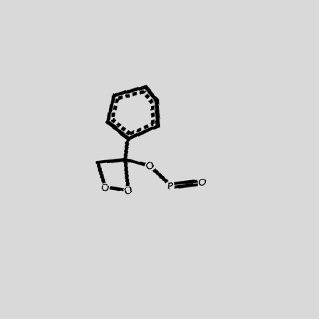 O=POC1(c2ccccc2)COO1